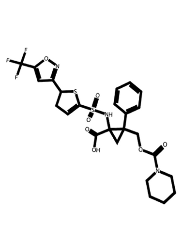 O=C(OCC1(c2ccccc2)CC1(NS(=O)(=O)C1=CCC(c2cc(C(F)(F)F)on2)S1)C(=O)O)N1CCCCC1